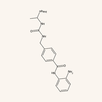 CCCCCC(C)NC(=O)NCc1ccc(C(=O)Nc2ccccc2N)cc1